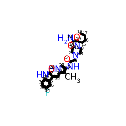 Cc1c(NC(=O)CN2CCN(C3(C(N)=O)CCCCO3)CC2)c[nH]c1C=C1C(=O)Nc2ccc(F)cc21